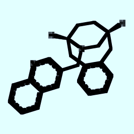 c1ccc2c(c1)C[C@H]1CC[C@@H](C2)N(Cc2cnc3ccccc3c2)C1